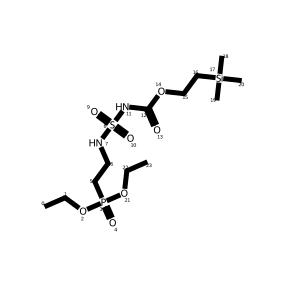 CCOP(=O)(CCNS(=O)(=O)NC(=O)OCC[Si](C)(C)C)OCC